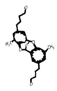 Cc1cc(CCCCCl)cc2c1OC1OC2Oc2c(C)cc(CCCCCl)cc21